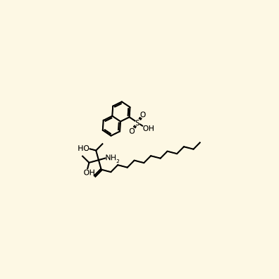 C=C(CCCCCCCCCCCC)C(N)(C(C)O)C(C)O.O=S(=O)(O)c1cccc2ccccc12